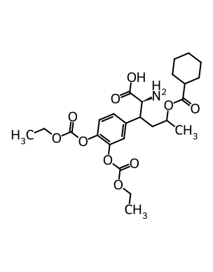 CCOC(=O)Oc1ccc(C(CC(C)OC(=O)C2CCCCC2)[C@H](N)C(=O)O)cc1OC(=O)OCC